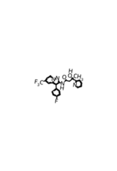 C[C@](O)(CC(=O)Nc1nn2ccc(C(F)(F)F)cc2c1-c1ccc(F)cc1)c1ccccn1